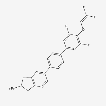 CCCC1Cc2ccc(-c3ccc(-c4cc(F)c(OC=C(F)F)c(F)c4)cc3)cc2C1